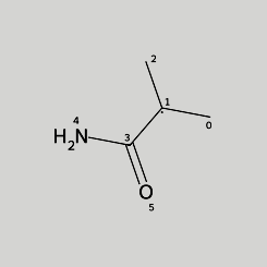 C[C](C)C(N)=O